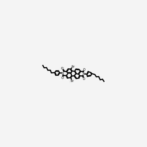 CCCCCCc1ccc(N2C(=O)c3ccc4c5c(Br)cc6c7c(cc(Br)c(c8ccc(c3c48)C2=O)c75)C(=O)N(c2ccc(CCCCCC)cc2)C6=O)cc1